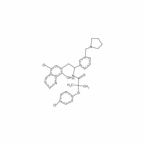 CC(C)(Oc1ccc(Cl)cc1)C(=O)NC(Cc1cc(Cl)c2cccnc2c1O)c1cccc(CN2CCCC2)c1